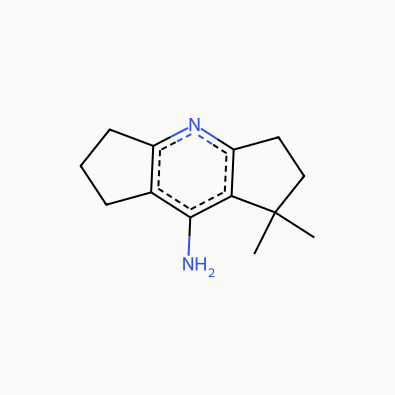 CC1(C)CCc2nc3c(c(N)c21)CCC3